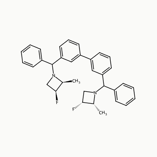 C[C@@H]1[C@H](F)CN1C(c1ccccc1)c1cccc(-c2cccc(C(c3ccccc3)N3C[C@H](F)[C@@H]3C)c2)c1